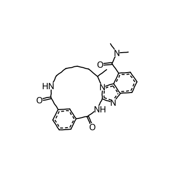 CC1CCCCNC(=O)c2cccc(c2)C(=O)Nc2nc3cccc(C(=O)N(C)C)c3n21